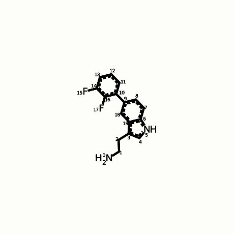 NCCc1c[nH]c2ccc(-c3cccc(F)c3F)cc12